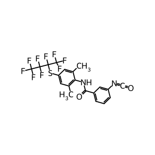 Cc1cc(SC(F)(C(F)(F)F)C(F)(F)C(F)(F)F)cc(C)c1NC(=O)c1cccc(N=C=O)c1